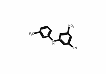 N#Cc1cc(Nc2cccc(C(F)(F)F)c2)cc([N+](=O)[O-])c1